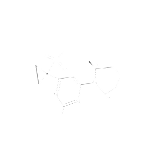 C[C@H]1COC[C@H](C)N1c1cc(C2(S(C)(=O)=O)CC2)nc(Cl)n1